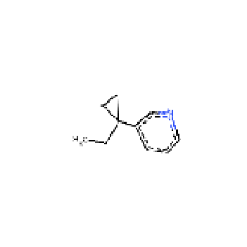 CCC1(c2cccnc2)CC1